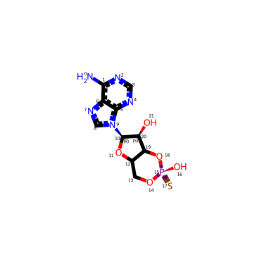 Nc1ncnc2c1ncn2[C@@H]1OC2CO[P@@](O)(=S)OC2[C@@H]1O